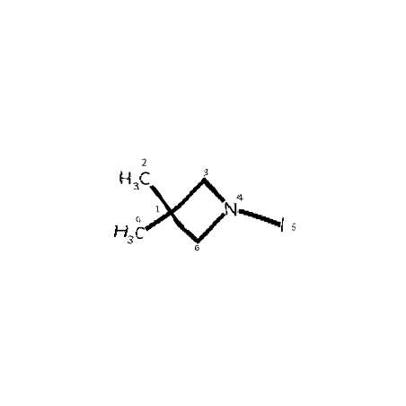 CC1(C)CN(I)C1